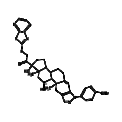 COc1ccc(-n2ncc3c2C=C2CCC4C([C@@H](O)CC5(C)C4CCC5(O)C(=O)CSc4nc5cccnc5s4)C2(C)C3)cc1